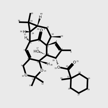 CC1=C[C@]23C(=O)[C@@H](C=C4COC(C)(C)O[C@H]4[C@]2(O)[C@H]1OC(=O)C1(C)CCCCC1)[C@H]1[C@@H](C[C@H]3C)C1(C)C